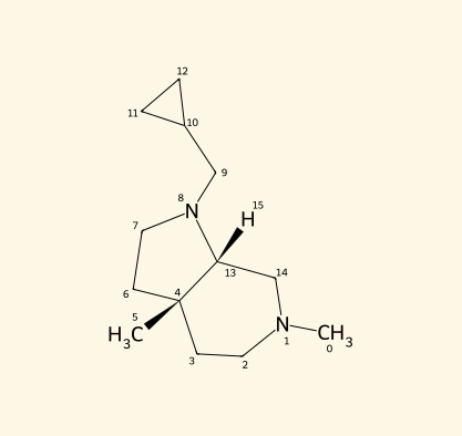 CN1CC[C@]2(C)CCN(CC3CC3)[C@@H]2C1